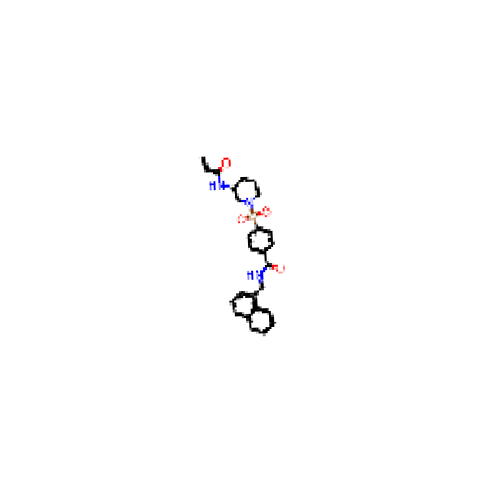 C=CC(=O)N[C@H]1CCCN(S(=O)(=O)c2ccc(C(=O)NCc3cccc4ccccc34)cc2)C1